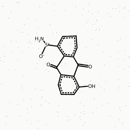 N[S+]([O-])c1cccc2c1C(=O)c1cccc(O)c1C2=O